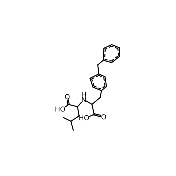 CC(C)CC(NC(Cc1ccc(Cc2ccccc2)cc1)C(=O)O)C(=O)O